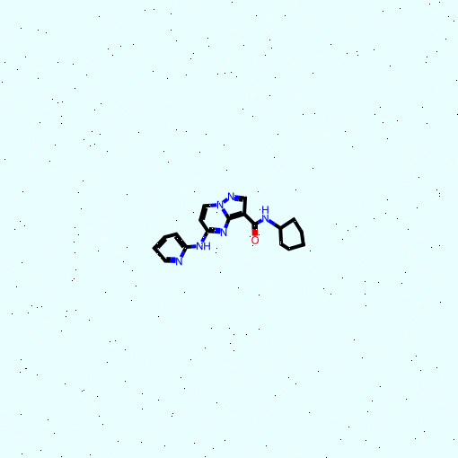 O=C(NC1CCCCC1)c1cnn2ccc(Nc3ccccn3)nc12